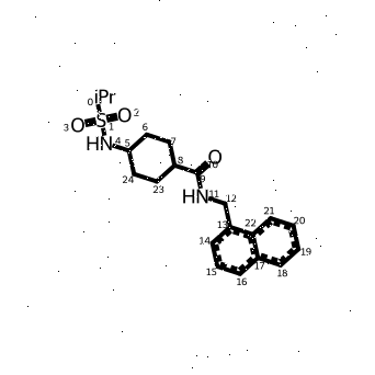 CC(C)S(=O)(=O)NC1CCC(C(=O)NCc2cccc3ccccc23)CC1